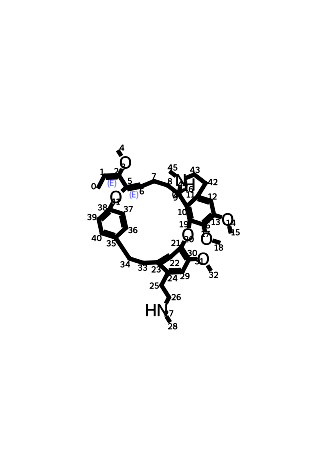 C/C=C(OC)\C1=C/CC[C@H]2c3c(cc(OC)c(OC)c3Oc3cc(c(CCNC)cc3OC)CCc3ccc(cc3)O1)CCN2C